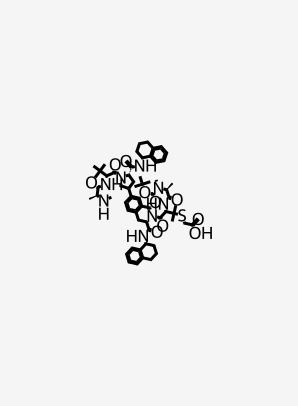 CN[C@@H](C)C(=O)N[C@H](C(=O)N1CC(c2ccc3c(c2)CN(C(=O)C(NC(=O)[C@H](C)N(C)C(=O)OC(C)(C)C)C(C)(C)SCC(=O)O)C(C(=O)NC2CCCc4ccccc42)C3)C[C@H]1C(=O)N[C@@H]1CCCc2ccccc21)C(C)(C)C